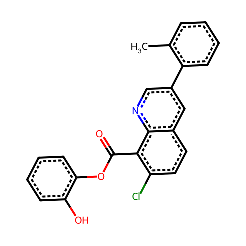 Cc1ccccc1-c1cnc2c(C(=O)Oc3ccccc3O)c(Cl)ccc2c1